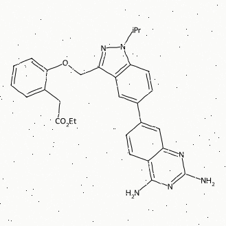 CCOC(=O)Cc1ccccc1OCc1nn(C(C)C)c2ccc(-c3ccc4c(N)nc(N)nc4c3)cc12